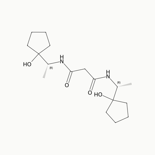 C[C@@H](NC(=O)CC(=O)N[C@H](C)C1(O)CCCC1)C1(O)CCCC1